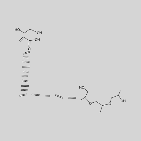 C=C.C=C.C=C.C=C.C=C.C=C.C=C.C=C.C=C.C=C.C=C.C=C.C=C.C=C.C=CC(=O)O.CC(O)COC(C)COC(C)CO.OCCO